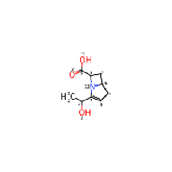 CC(O)C1=CCC2CC(C(=O)O)N12